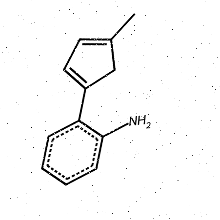 CC1=CC=C(c2ccccc2N)C1